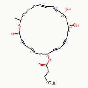 CC1CCC/C=C/C=C/[C@H](O)C[C@@H](O)C/C=C\C=C\[C@@H](OC(=O)CCC(=O)O)C/C=C/C=C\C(=O)O1